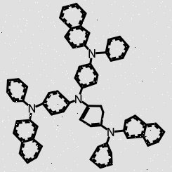 C1=C(N(c2ccc(N(c3ccccc3)c3ccc4ccccc4c3)cc2)c2ccc(N(c3ccccc3)c3ccc4ccccc4c3)cc2)CCC(N(c2ccccc2)c2ccc3ccccc3c2)=C1